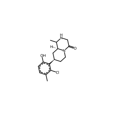 Cc1ccc(O)c([C@@H]2CCN3C(=O)CNC(C)[C@@H]3C2)c1Cl